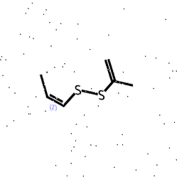 C=C(C)SS/C=C\C